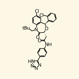 CC(C)(C)CN1C(=O)[C@@H](CC(=O)Nc2ccc(-c3nnn[nH]3)cc2)O[C@H](c2ccccc2Cl)c2cc(Cl)ccc21